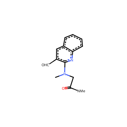 CNC(=O)CN(C)c1nc2ccccc2cc1C=O